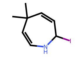 CC1(C)C=CNC(I)C=C1